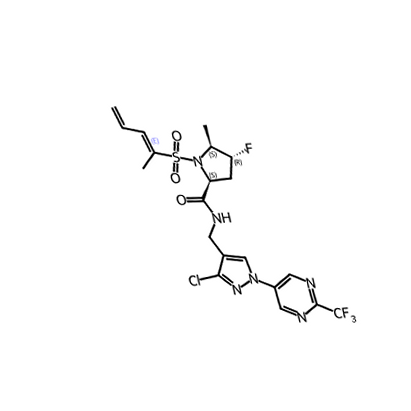 C=C/C=C(\C)S(=O)(=O)N1[C@H](C(=O)NCc2cn(-c3cnc(C(F)(F)F)nc3)nc2Cl)C[C@@H](F)[C@@H]1C